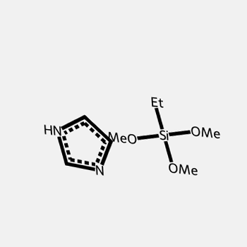 CC[Si](OC)(OC)OC.c1c[nH]cn1